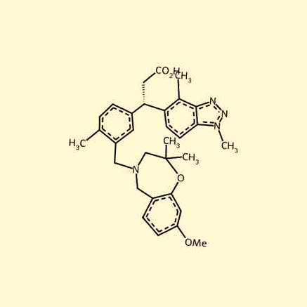 COc1ccc2c(c1)OC(C)(C)CN(Cc1cc([C@H](CC(=O)O)c3ccc4c(nnn4C)c3C)ccc1C)C2